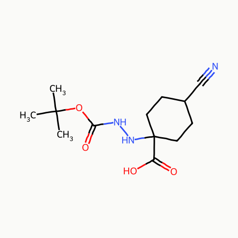 CC(C)(C)OC(=O)NNC1(C(=O)O)CCC(C#N)CC1